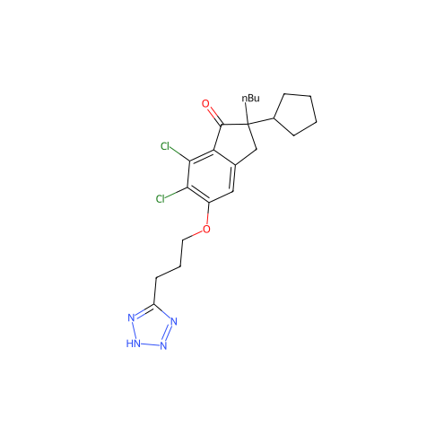 CCCCC1(C2CCCC2)Cc2cc(OCCCc3nn[nH]n3)c(Cl)c(Cl)c2C1=O